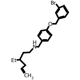 C=CCC(CC)CCNCc1ccc(OCc2cccc(Br)c2)cc1